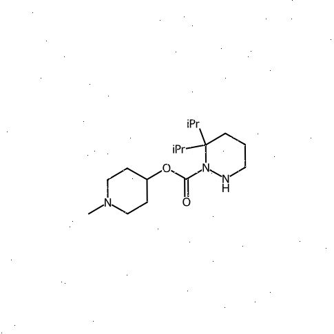 CC(C)C1(C(C)C)CCCNN1C(=O)OC1CCN(C)CC1